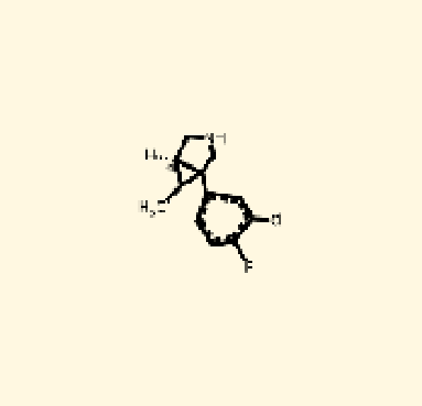 CC1[C@H]2CNCC12c1ccc(F)c(Cl)c1